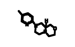 Cc1ccc(N2CCN3CCOC[C@H]3C2)nc1